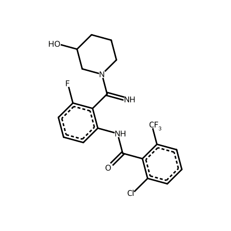 N=C(c1c(F)cccc1NC(=O)c1c(Cl)cccc1C(F)(F)F)N1CCCC(O)C1